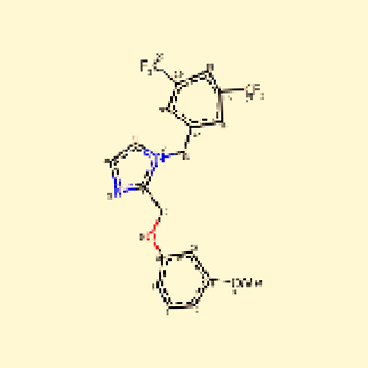 COc1cccc(OCc2nccn2Cc2cc(C(F)(F)F)cc(C(F)(F)F)c2)c1